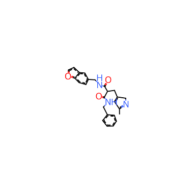 CC1=NCC(CC(C(=O)NCc2ccccc2)C(=O)NCc2ccc3occc3c2)=C1